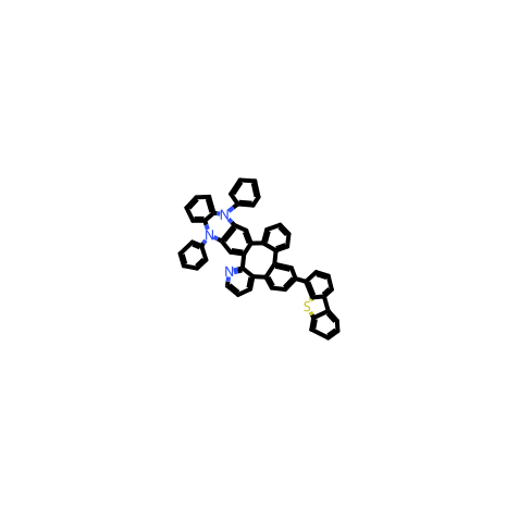 c1ccc(-n2c3ccccc3n(-c3ccccc3)c3cc4c(cc32)c2ccccc2c2cc(-c3cccc5c3sc3ccccc35)ccc2c2cccnc24)cc1